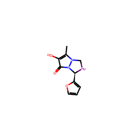 Cc1c(O)c(=O)n2n1CP[C@H]2c1ccco1